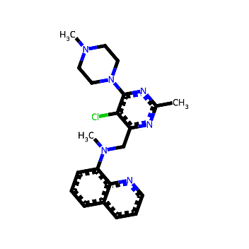 Cc1nc(CN(C)c2cccc3cccnc23)c(Cl)c(N2CCN(C)CC2)n1